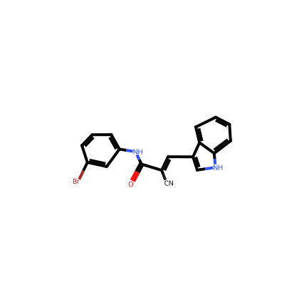 N#C/C(=C\c1c[nH]c2ccccc12)C(=O)Nc1cccc(Br)c1